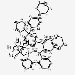 CC1(C)CC2(CC1(C)C)c1ccccc1-c1ccccc1-c1c2c2c(c3cc4c(cc13)OCCO4)OC(c1ccccc1)(c1ccc(N3CCOCC3)cc1)C=C2